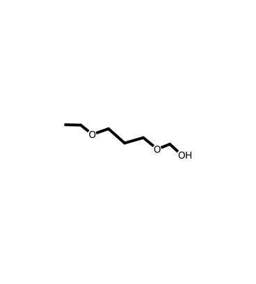 CCOCCCOCO